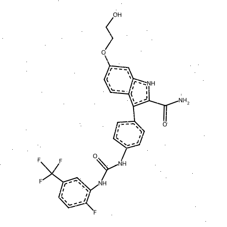 NC(=O)c1[nH]c2cc(OCCO)ccc2c1-c1ccc(NC(=O)Nc2cc(C(F)(F)F)ccc2F)cc1